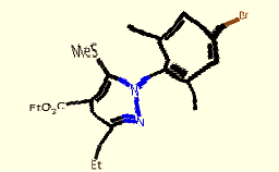 CCOC(=O)c1c(CC)nn(-c2c(C)cc(Br)cc2C)c1SC